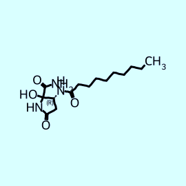 CCCCCCCCCC(=O)N[C@@H]1CC(=O)NC1(O)C(N)=O